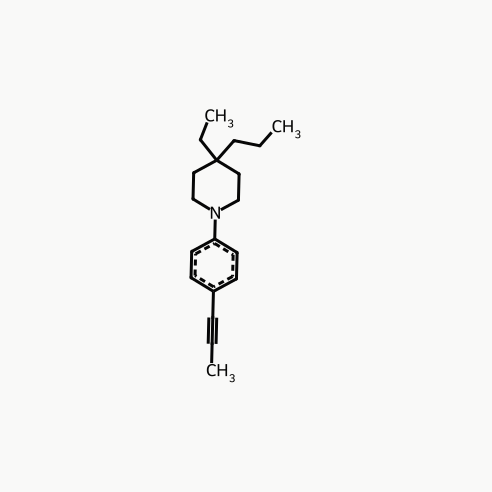 CC#Cc1ccc(N2CCC(CC)(CCC)CC2)cc1